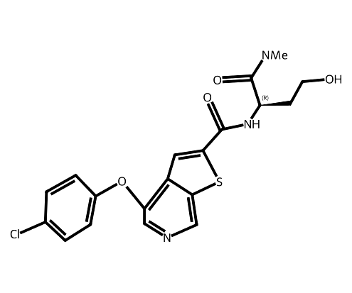 CNC(=O)[C@@H](CCO)NC(=O)c1cc2c(Oc3ccc(Cl)cc3)cncc2s1